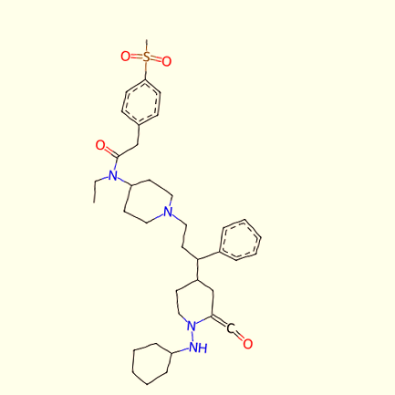 CCN(C(=O)Cc1ccc(S(C)(=O)=O)cc1)C1CCN(CCC(c2ccccc2)C2CCN(NC3CCCCC3)C(=C=O)C2)CC1